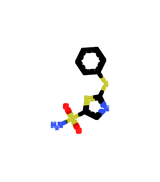 NS(=O)(=O)c1cnc(Sc2ccccc2)s1